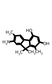 Cc1cc2c(cc1N)C(C)(C)c1c(C)c(O)cc(O)c1-2